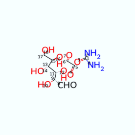 NC(N)=O.O=CC=O.O=C[C@H](O)[C@@H](O)[C@H](O)[C@H](O)CO